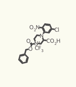 O=C(O)C1C[N+](C(=O)OCc2ccccc2)(C(F)(F)F)CCN1c1cc(Cl)ccc1[N+](=O)[O-]